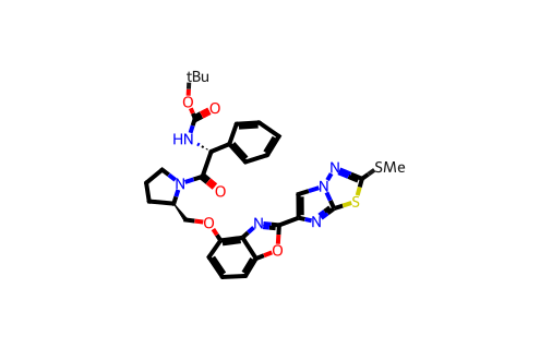 CSc1nn2cc(-c3nc4c(OC[C@H]5CCCN5C(=O)[C@H](NC(=O)OC(C)(C)C)c5ccccc5)cccc4o3)nc2s1